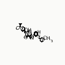 CN1CCCC(CNc2cccc(-n3ncc4c(=O)n(CC5(O)CCN(C(=O)C6CC6)CC5)cnc43)c2)C1